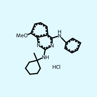 COc1cccc2c(Nc3ccccc3)nc(NC3(C)CCCCC3)nc12.Cl